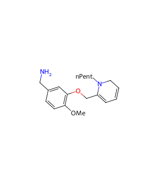 CCCCCN1CC=CC=C1COc1cc(CN)ccc1OC